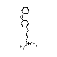 CN(C)CC=CCc1ccc(Oc2ccccc2)cc1